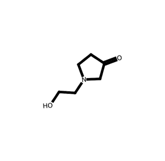 O=C1CCN(CCO)C1